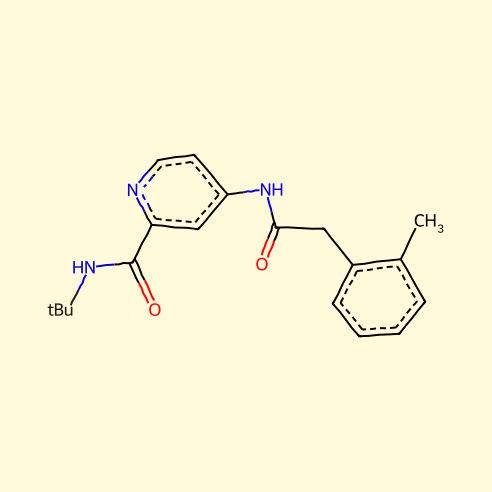 Cc1ccccc1CC(=O)Nc1ccnc(C(=O)NC(C)(C)C)c1